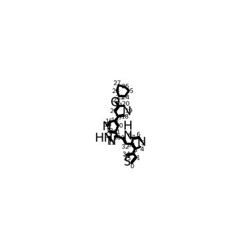 c1cc(-c2cncc3[nH]c(-c4n[nH]c5ncc(-c6cncc(OC7CCCCC7)c6)cc45)cc23)cs1